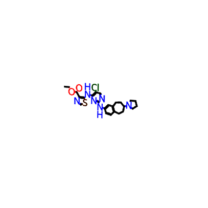 CCOC(=O)c1ncsc1Nc1nc(Nc2ccc3c(c2)CCC(N2CCCC2)CC3)ncc1Cl